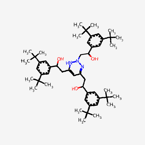 CC(C)(C)c1cc(C(O)CC2=CC(CC(O)c3cc(C(C)(C)C)cc(C(C)(C)C)c3)=NN(CC(O)c3cc(C(C)(C)C)cc(C(C)(C)C)c3)N2)cc(C(C)(C)C)c1